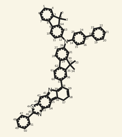 CC1(C)c2ccccc2-c2ccc(N(c3ccc(-c4ccccc4)cc3)c3ccc4c(c3)C(C)(C)c3cc(C5=C6N=c7cc8sc(-c9ccccc9)nc8cc7=C6CC=C5)ccc3-4)cc21